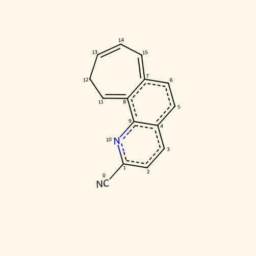 N#Cc1ccc2ccc3c(c2n1)=CCC=CC=3